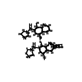 Cc1c(NN2C=NCC2)cc(F)c2cccnc12.Cc1c(NN2C=NCC2)cc(F)c2cccnc12.Cl.Cl.Cl